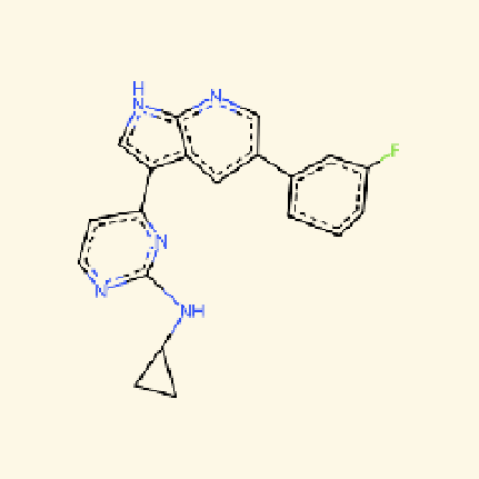 Fc1cccc(-c2cnc3[nH]cc(-c4ccnc(NC5CC5)n4)c3c2)c1